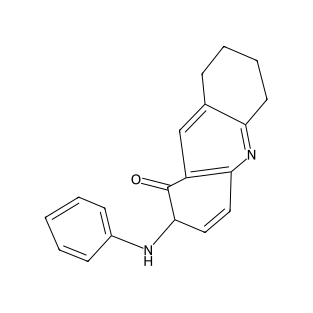 O=C1c2cc3c(nc2C=CC1Nc1ccccc1)CCCC3